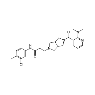 Cc1ccc(NC(=O)CCN2CC3CN(C(=O)c4cccnc4N(C)C)CC3C2)cc1Cl